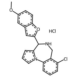 COc1ccc2oc(C3NCc4c(Cl)cccc4-n4cccc43)cc2c1.Cl